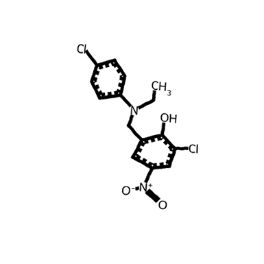 CCN(Cc1cc([N+](=O)[O-])cc(Cl)c1O)c1ccc(Cl)cc1